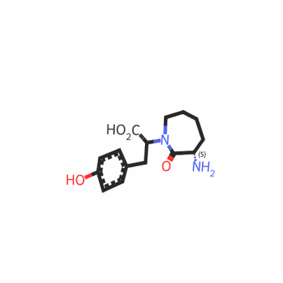 N[C@H]1CCCCN(C(Cc2ccc(O)cc2)C(=O)O)C1=O